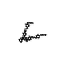 CCCCCC1CCC(CCCOc2ccc(C(=O)OC[C@H](OC(=O)c3ccc(OCCCC4CCC(CCCCC)CC4)cc3)c3ccccc3)cc2)CC1